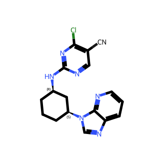 N#Cc1cnc(N[C@@H]2CCC[C@H](n3cnc4cccnc43)C2)nc1Cl